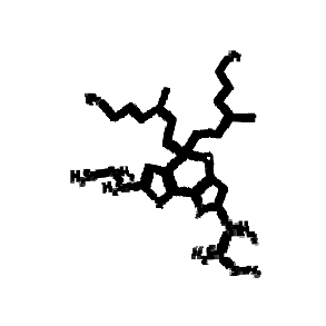 CC(C)CCCC(C)CCC1(CCC(C)CCCC(C)C)Oc2c[c]([SnH2][SnH2][SnH3])sc2-c2s[c]([SnH2][SnH2][SnH3])cc21